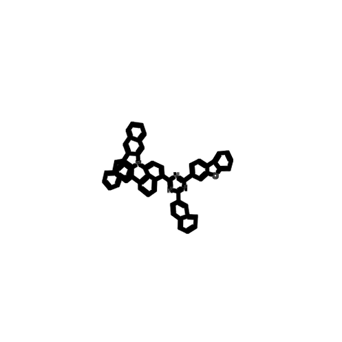 c1ccc(-c2cccc3c(-c4nc(-c5ccc6ccccc6c5)nc(-c5ccc6c(c5)oc5ccccc56)n4)ccc(-n4c5cc6ccccc6cc5c5cc6ccccc6cc54)c23)cc1